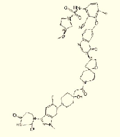 CO[C@H]1CCN(S(=O)(=O)Nc2ccc(F)c(Oc3ccc4ncn([C@H]5COC6(CCN(C(=O)CC7(O)CCN(c8cc9c(cc8F)c(N8CCC(=O)NC8=O)nn9C)CC7)CC6)C5)c(=O)c4c3)c2C#N)C1